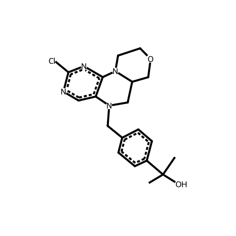 CC(C)(O)c1ccc(CN2CC3COCCN3c3nc(Cl)ncc32)cc1